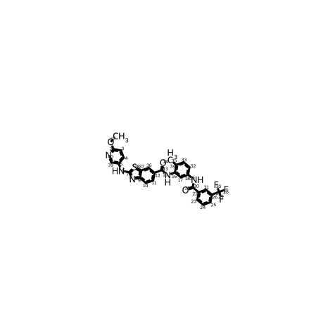 COc1ccc(Nc2nc3ccc(C(=O)Nc4cc(NC(=O)c5cccc(C(F)(F)F)c5)ccc4C)cc3s2)cn1